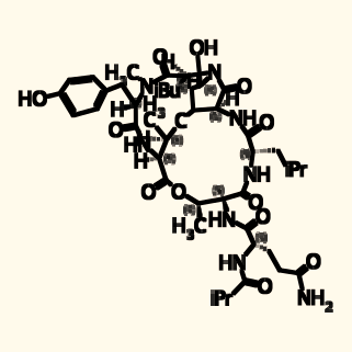 CC[C@H](C)[C@H]1C(=O)N(C)[C@@H](Cc2ccc(O)cc2)C(=O)N[C@@H]2C(=O)O[C@H](C)[C@H](NC(=O)[C@H](CCC(N)=O)NC(=O)C(C)C)C(=O)N[C@@H](CC(C)C)C(=O)N[C@@H]3C(=O)N1[C@H](O)CC3C[C@@H]2C